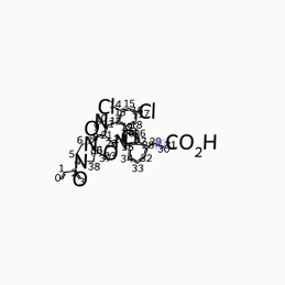 C=CC(=O)N1CCN(c2onc(-c3c(Cl)cc(Cl)cc3Cl)c2C(=O)n2ccc3c(/C=C/C(=O)O)cccc32)[C@@H](C)C1